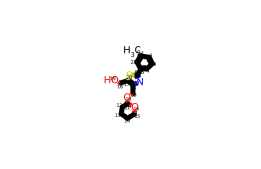 Cc1cccc(-c2nc(COC3CCCCO3)c(CO)s2)c1